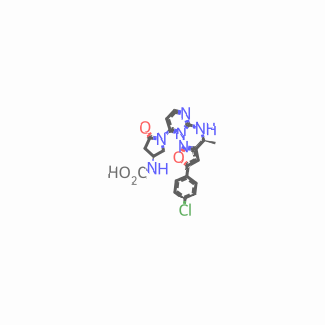 C[C@H](Nc1nccc(N2C[C@H](NC(=O)O)CC2=O)n1)c1cc(-c2ccc(Cl)cc2)on1